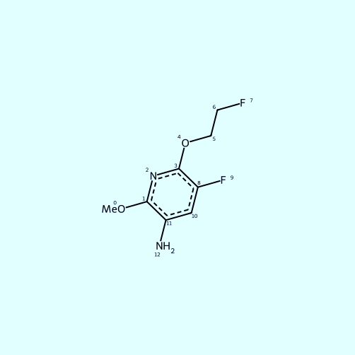 COc1nc(OCCF)c(F)cc1N